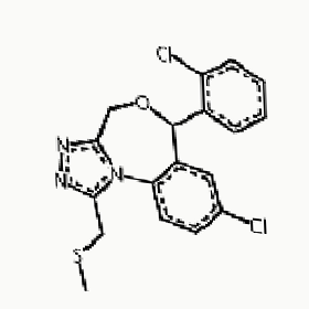 CSCc1nnc2n1-c1ccc(Cl)cc1C(c1ccccc1Cl)OC2